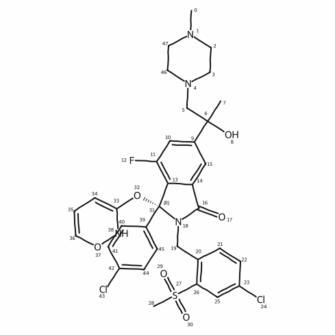 CN1CCN(CC(C)(O)c2cc(F)c3c(c2)C(=O)N(Cc2ccc(Cl)cc2S(C)(=O)=O)[C@@]3(OC2=CC=CON2)c2ccc(Cl)cc2)CC1